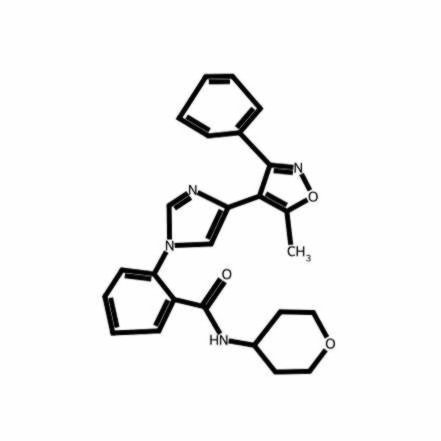 Cc1onc(-c2ccccc2)c1-c1cn(-c2ccccc2C(=O)NC2CCOCC2)cn1